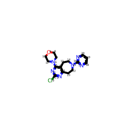 Clc1nc2c(c(N3CCOCC3)n1)CCN(c1ncccn1)CC2